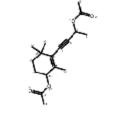 CC(=O)OC(C)C#CC1=C(C)C(OC(C)=O)CCC1(C)C